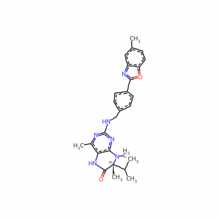 Cc1ccc2oc(-c3ccc(CNc4nc(C)c5c(n4)N(C)[C@](C)(C(C)C)C(=O)N5)cc3)nc2c1